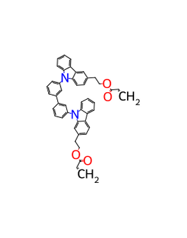 C=CC(=O)OCCc1ccc2c(c1)c1ccccc1n2-c1cccc(-c2cccc(-n3c4ccccc4c4ccc(CCOC(=O)C=C)cc43)c2)c1